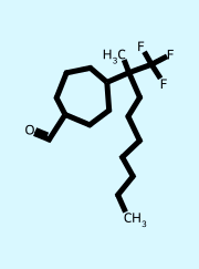 CCCCCCCC(C)(C1CCCC(C=O)CC1)C(F)(F)F